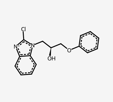 O[C@H](COc1ccccc1)Cn1c(Cl)nc2ccccc21